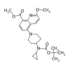 COC(=O)c1ccc(N2CCC(N(C(=O)OC(C)(C)C)C3CC3)CC2)c2ccc(OC)nc12